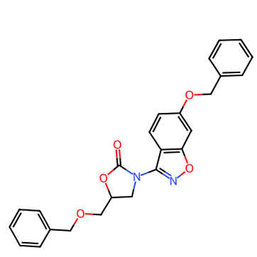 O=C1OC(COCc2ccccc2)CN1c1noc2cc(OCc3ccccc3)ccc12